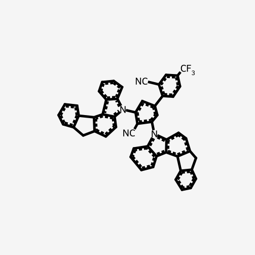 N#Cc1cc(C(F)(F)F)ccc1-c1cc(-n2c3ccccc3c3c4c(ccc32)Cc2ccccc2-4)c(C#N)c(-n2c3ccccc3c3c4c(ccc32)Cc2ccccc2-4)c1